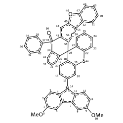 COc1ccc2c(c1)c1cc(OC)ccc1n2-c1ccc2c(c1)Sc1ccccc1C21c2ccccc2P(=O)(c2ccccc2)c2cc3oc4ccccc4c3cc21